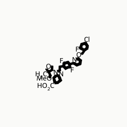 COC[C@@]1(C)COC[C@@H]1n1c(Cc2cc(F)c(-c3cccc(OCc4ccc(Cl)cc4F)n3)cc2F)nc2ccc(C(=O)O)cc21